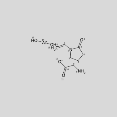 C=CN1CCCC1=O.NCC(=O)[O-].[OH][Al+][OH]